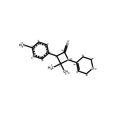 CC1(C)C(c2ccc(N)nc2)C(=O)N1C1=CCOCC1